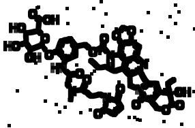 CCCCc1c2c(nc3cc4c(c(NC(=O)OCc5ccc(O[C@@H]6OC(C(=O)O)[C@H](O)C(O)C6O)c(NC(=O)CN(C)C(=O)CCN6C(=O)C=CC6=O)c5)c13)OCO4)-c1cc3c(c(=O)n1C2)COC(=O)[C@]3(O)CC